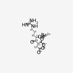 N=C(N)NCCCC(O)C(=O)C(CC(=O)[O-])C(=O)[O-].[Ba+2]